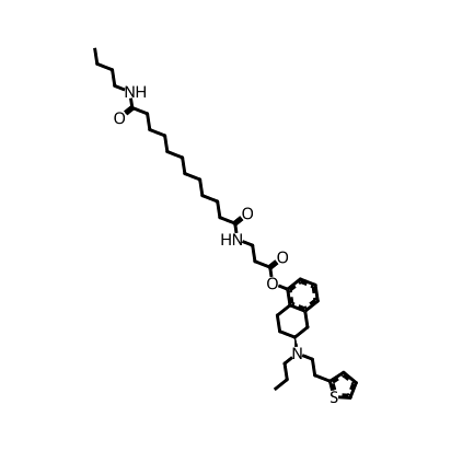 CCCCNC(=O)CCCCCCCCCCC(=O)NCCC(=O)Oc1cccc2c1CC[C@H](N(CCC)CCc1cccs1)C2